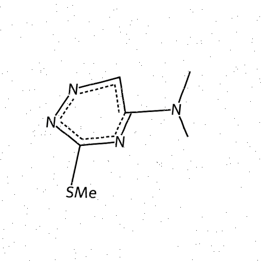 CSc1nncc(N(C)C)n1